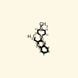 CCc1nc2ccccc2nc1N1CCN(C)CC1